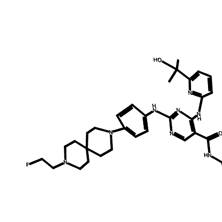 C=CCNC(=O)c1cnc(Nc2ccc(N3CCC4(CCN(CCF)CC4)CC3)cc2)nc1Nc1cccc(C(C)(C)O)n1